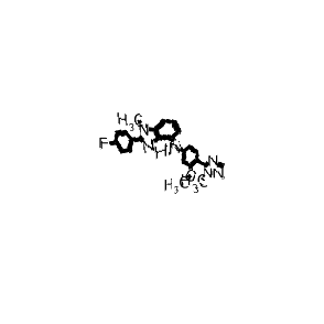 COc1cc(Nc2cccc3c2nc(-c2ccc(F)cc2)n3C)ccc1-c1ncnn1C